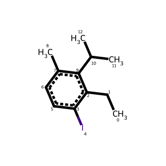 CCc1c(I)ccc(C)c1C(C)C